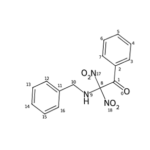 O=C(c1ccccc1)C(NCc1ccccc1)([N+](=O)[O-])[N+](=O)[O-]